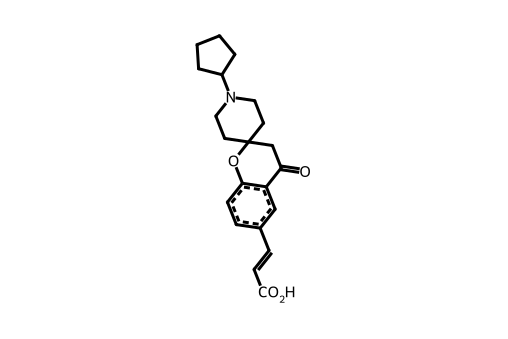 O=C(O)/C=C/c1ccc2c(c1)C(=O)CC1(CCN(C3CCCC3)CC1)O2